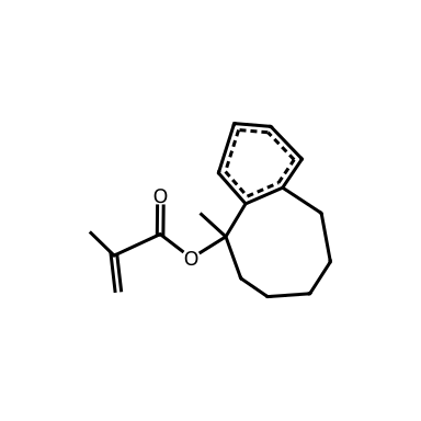 C=C(C)C(=O)OC1(C)CCCCCc2ccccc21